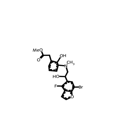 COC(=O)Cc1cccc(N(C)CC(O)c2cc(Br)c3occc3c2F)c1O